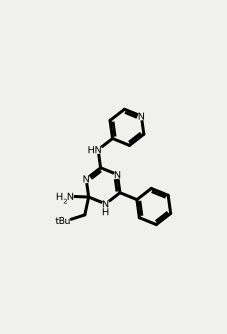 CC(C)(C)CC1(N)N=C(Nc2ccncc2)N=C(c2ccccc2)N1